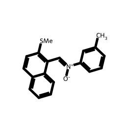 CSc1ccc2ccccc2c1C=[N+]([O-])c1cccc(C)c1